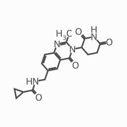 Cc1nc2ccc(CNC(=O)C3CC3)cc2c(=O)n1C1CCC(=O)NC1=O